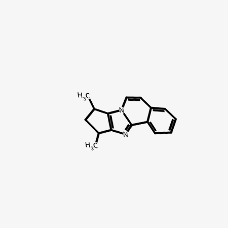 CC1CC(C)c2c1nc1c3ccccc3ccn21